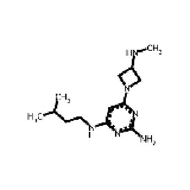 CNC1CN(c2cc(NCCC(C)C)nc(N)n2)C1